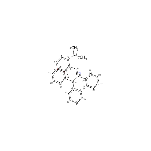 CN(C)c1ccccc1/C=C(\B(c1ccccn1)c1ccccn1)c1ccccn1